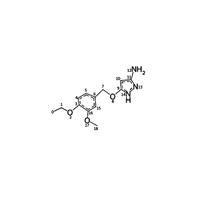 CCOc1ccc(COc2cc(N)n[nH]2)cc1OC